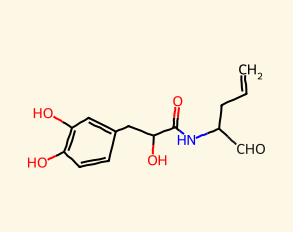 C=CCC(C=O)NC(=O)C(O)Cc1ccc(O)c(O)c1